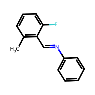 Cc1cccc(F)c1C=Nc1ccccc1